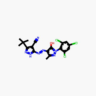 Cc1nn(-c2c(Cl)cc(Cl)cc2Cl)c(O)c1/N=N/c1[nH]nc(C(C)(C)C)c1C#N